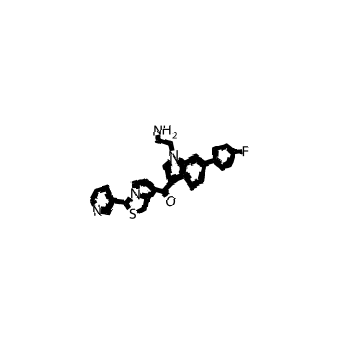 NCCn1cc(C(=O)c2ccn3c2CSC3c2cccnc2)c2ccc(-c3ccc(F)cc3)cc21